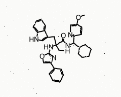 CCC(Cc1c[nH]c2ccccc12)(Nc1nc(-c2ccccc2)co1)C(=O)NC(c1ccc(OC)cn1)C1CCCCC1